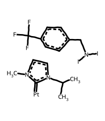 CC(C)n1ccn(C)[c]1=[Pt].FC(F)(F)c1ccc(CN(I)I)cc1